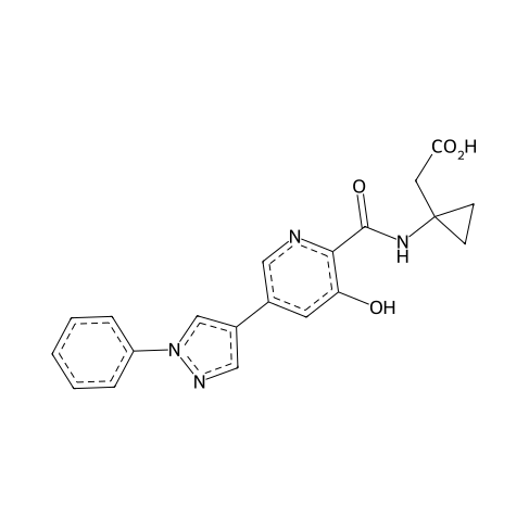 O=C(O)CC1(NC(=O)c2ncc(-c3cnn(-c4ccccc4)c3)cc2O)CC1